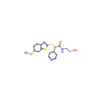 CCOc1ccc2nc(SC(C(=O)NCCO)c3ccncc3)sc2c1